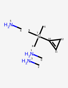 CN.CN.CN.C[Si](C)(C)C1=CC1